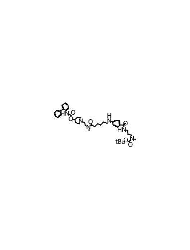 CN(CCN1CCC(OC(=O)Nc2ccccc2-c2ccccc2)CC1)C(=O)CCCCCNc1ccc(C(=O)NCCCN(C)C(=O)OC(C)(C)C)cc1